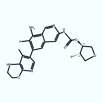 Cc1c(-c2cc3cc(NC(=O)O[C@H]4COC[C@@H]4F)ncc3c(N)c2F)cnc2c1NCCO2